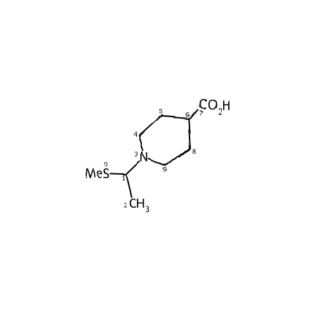 CSC(C)N1CCC(C(=O)O)CC1